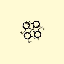 Cc1ccccc1[P+](c1ccccc1C)(c1ccccc1C)c1ccccc1C.[Br-]